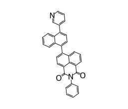 O=C1c2cccc3c(-c4ccc(-c5cccnc5)c5ccccc45)ccc(c23)C(=O)N1c1ccccc1